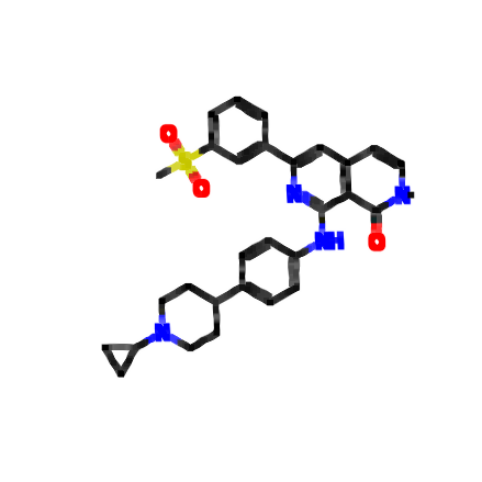 CS(=O)(=O)c1cccc(-c2cc3c(c(Nc4ccc(C5CCN(C6CC6)CC5)cc4)n2)C(=O)[N]C=C3)c1